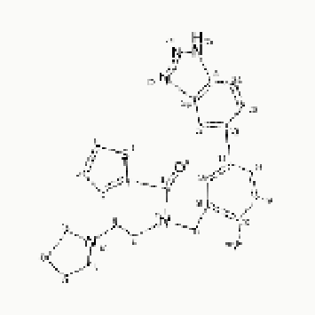 O=C(c1cccs1)N(CCN1CCCC1)Cc1cc(-c2ccc3[nH]nnc3c2)ccc1F